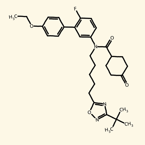 CCOc1ccc(-c2cc(N(CCCCCc3nc(C(C)(C)C)no3)C(=O)C3CCC(=O)CC3)ccc2F)cc1